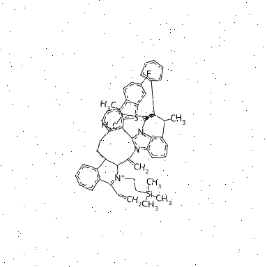 C=CC1=[N+](CC[Si](C)(C)C)C2C(=C)[n+]3c(n4c5c(cccc53)C(C)c3cc(-c5ccccc5)cc(C(C)C)c3-4)-c3c(ccc4c3sc3cc(F)ccc34)CCC2c2ccccc21